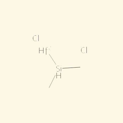 C[SiH](C)[Hf+2].[Cl-].[Cl-]